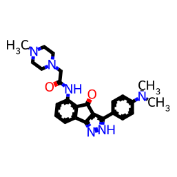 CN1CCN(CC(=O)Nc2cccc3c2C(=O)c2c-3n[nH]c2-c2ccc(N(C)C)cc2)CC1